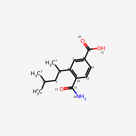 CC(C)CC(C)c1cc(C(=O)O)ccc1C(N)=O